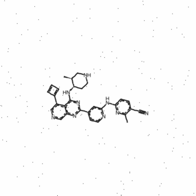 Cc1nc(Nc2cc(-c3nc(N[C@@H]4CCNC[C@@H]4C)c4c(C5=CC=C5)cncc4n3)ccn2)ccc1C#N